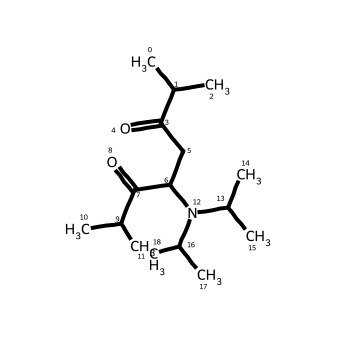 CC(C)C(=O)CC(C(=O)C(C)C)N(C(C)C)C(C)C